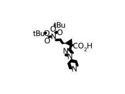 CC(C)(C)OC(=O)N(CCC[C@H]1CC1(C(=O)O)c1cn(-c2ccncc2)cn1)C(=O)OC(C)(C)C